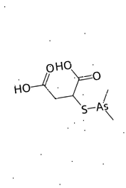 C[As](C)SC(CC(=O)O)C(=O)O